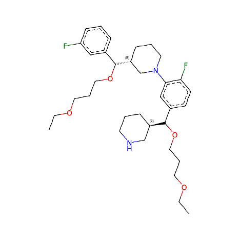 CCOCCCOC(c1ccc(F)c(N2CCC[C@@H](C(OCCCOCC)c3cccc(F)c3)C2)c1)[C@@H]1CCCNC1